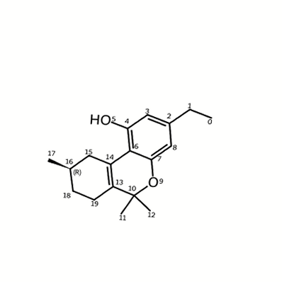 CCc1cc(O)c2c(c1)OC(C)(C)C1=C2C[C@H](C)CC1